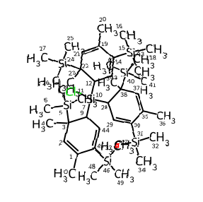 CC1=CC(C)([Si](C)(C)C)C([Si](Cl)(C2C=C([Si](C)(C)C)C(C)=CC2(C)[Si](C)(C)C)C2C=C([Si](C)(C)C)C(C)=CC2(C)[Si](C)(C)C)C=C1[Si](C)(C)C